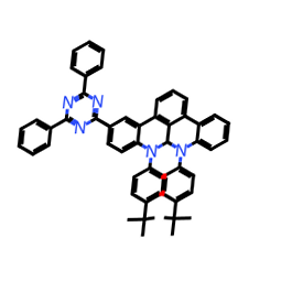 CC(C)(C)c1ccc(N2c3ccccc3-c3cccc4c3C2N(c2ccc(C(C)(C)C)cc2)c2ccc(-c3nc(-c5ccccc5)nc(-c5ccccc5)n3)cc2-4)cc1